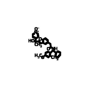 COc1ccc(C(NC(=O)Cc2ccc3oc(C(C)(O)c4cc[n+]([O-])cc4)cc3c2)c2ccccc2)c(C)c1